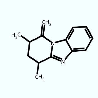 C=C1C(C)CC(C)c2nc3ccccc3n21